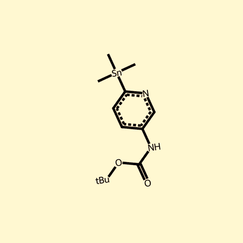 CC(C)(C)OC(=O)Nc1cc[c]([Sn]([CH3])([CH3])[CH3])nc1